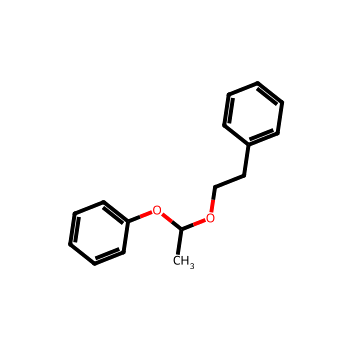 CC(OCCc1ccccc1)Oc1ccccc1